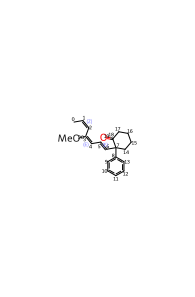 C\C=C/C(=C\C=C\C1(c2ccccc2)CCCCC1=O)OC